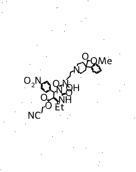 CCC1=C(C(=O)OCCC#N)C(c2ccc([N+](=O)[O-])cc2)N(C(=O)N(O)CCCN2CCC(C(=O)OC)(c3ccccc3)CC2)C(=O)N1